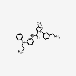 CCCN(c1ccccc1)c1cccc(NC(=O)c2cc(C)nn2-c2cccc(CN)c2)c1